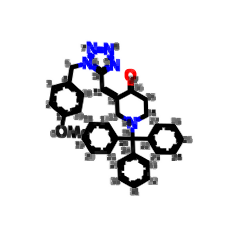 COc1ccc(Cn2nnnc2C=C2CN(C(c3ccccc3)(c3ccccc3)c3ccccc3)CCC2=O)cc1